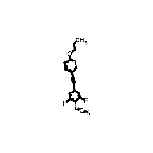 CCCOc1ccc(C#Cc2cc(F)c(N=C=S)c(F)c2)cc1